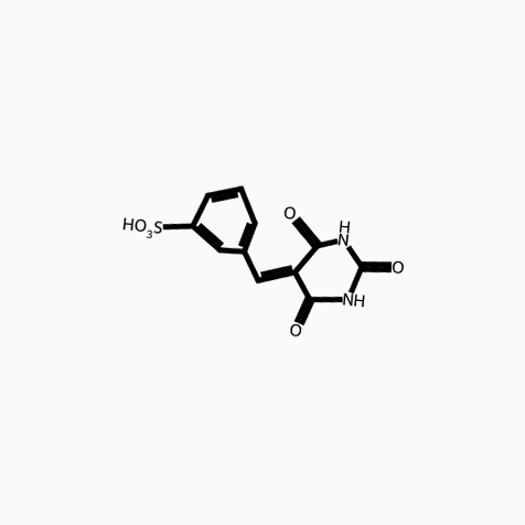 O=C1NC(=O)C(=Cc2cccc(S(=O)(=O)O)c2)C(=O)N1